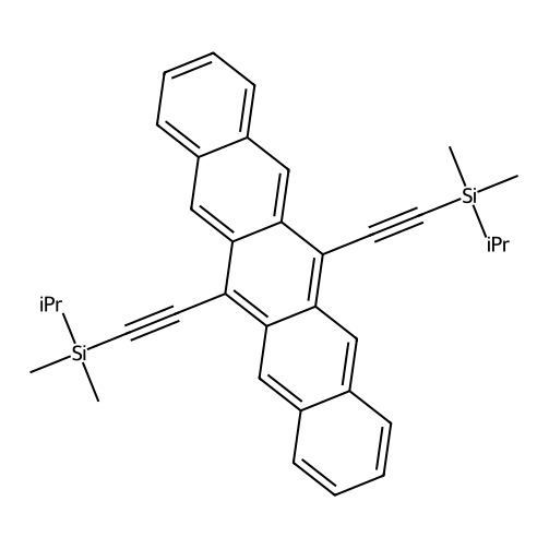 CC(C)[Si](C)(C)C#Cc1c2cc3ccccc3cc2c(C#C[Si](C)(C)C(C)C)c2cc3ccccc3cc12